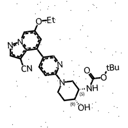 CCOc1cc(-c2ccc(N3CC[C@@H](O)[C@@H](NC(=O)OC(C)(C)C)C3)nc2)c2c(C#N)cnn2c1